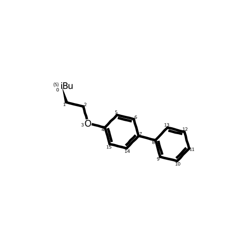 CC[C@H](C)CCOc1ccc(-c2ccccc2)cc1